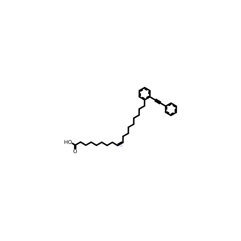 O=C(O)CCCCCCC/C=C\CCCCCCCCc1ccccc1C#Cc1ccccc1